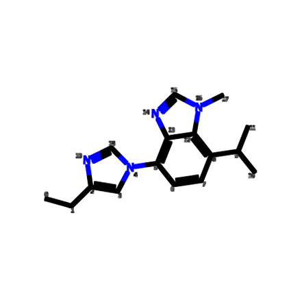 CCc1cn(-c2ccc(C(C)C)c3c2ncn3C)cn1